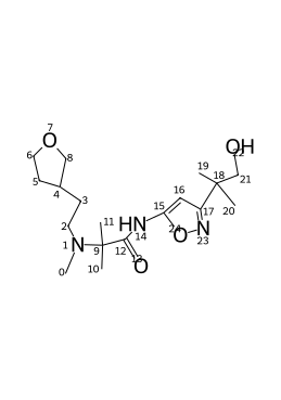 CN(CCC1CCOC1)C(C)(C)C(=O)Nc1cc(C(C)(C)CO)no1